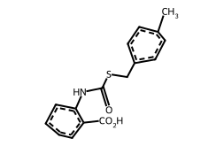 Cc1ccc(CSC(=O)Nc2ccccc2C(=O)O)cc1